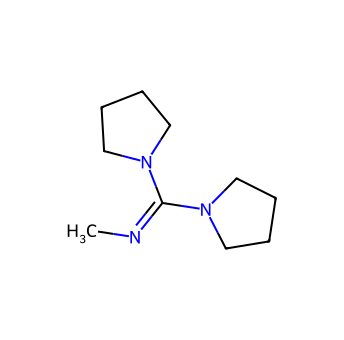 CN=C(N1CCCC1)N1CCCC1